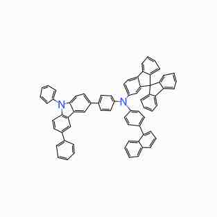 c1ccc(-c2ccc3c(c2)c2cc(-c4ccc(N(c5ccc(-c6cccc7ccccc67)cc5)c5ccc6c(c5)C5(c7ccccc7-c7ccccc75)c5ccccc5-6)cc4)ccc2n3-c2ccccc2)cc1